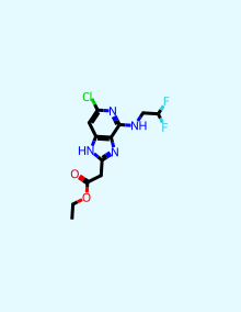 CCOC(=O)Cc1nc2c(NCC(F)F)nc(Cl)cc2[nH]1